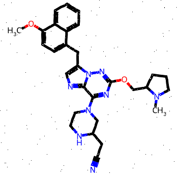 COc1ccc(Cc2cnc3c(N4CCNC(CC#N)C4)nc(OCC4CCCN4C)nn23)c2ccccc12